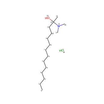 CCCCCCCCCCCCC(C)(O)N(C)C.Cl